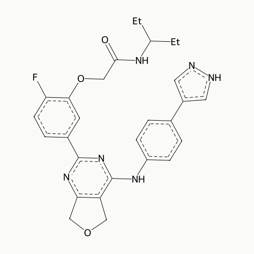 CCC(CC)NC(=O)COc1cc(-c2nc3c(c(Nc4ccc(-c5cn[nH]c5)cc4)n2)COC3)ccc1F